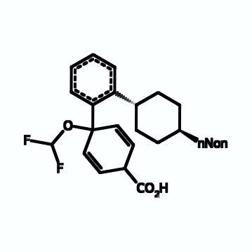 CCCCCCCCC[C@H]1CC[C@H](c2ccccc2C2(OC(F)F)C=CC(C(=O)O)C=C2)CC1